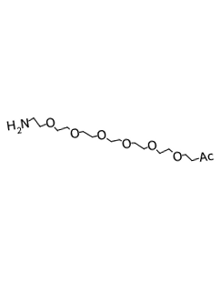 CC(=O)CCOCCOCCOCCOCCOCCOCCN